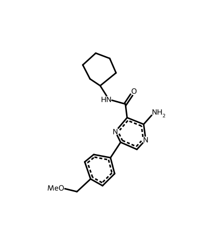 COCc1ccc(-c2cnc(N)c(C(=O)NC3CCCCC3)n2)cc1